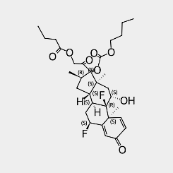 CCCCOC(=O)O[C@]1(C(=O)COC(=O)CCC)[C@H](C)C[C@H]2[C@@H]3C[C@H](F)C4=CC(=O)C=C[C@]4(C)[C@@]3(F)[C@@H](O)C[C@@]21C